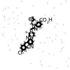 C[C@H]1c2nc3c(Cc4ccc(Cl)cc4C#N)cccc3n2CCN1Cc1nc2ccc(C(=O)O)cc2n1C[C@@H]1CCO1